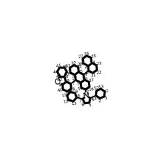 c1ccc(-c2ccc(-c3ccccc3)n2-c2ccc3c(-c4cccc5ccccc45)c4ccccc4c(-c4cccc5oc6ccccc6c45)c3c2)cc1